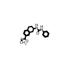 COC(=O)c1ccc2c(c1)CC(NC(=O)Nc1ccccc1)CC2